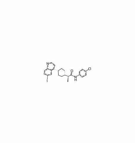 C[C@H](C(=O)Nc1ccc(Cl)cc1)[C@H]1CC[C@@H](c2ccnc3ccc(I)cc32)CC1